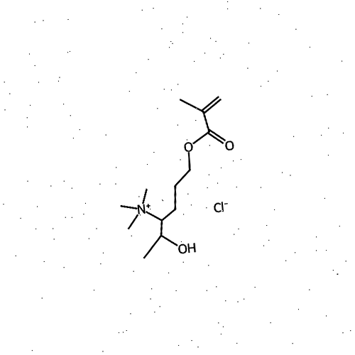 C=C(C)C(=O)OCCCC(C(C)O)[N+](C)(C)C.[Cl-]